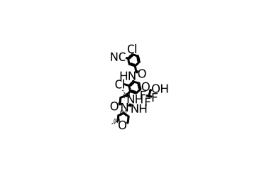 C[C@@H]1C[C@H](N2C(=N)N[C@](C)(c3cccc(NC(=O)c4ccc(Cl)c(C#N)c4)c3Cl)CC2=O)CCO1.O=C(O)C(F)(F)F